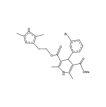 COC(=O)C1=C(C)NC(C)=C(C(=O)OCCc2cc(C)[nH]c2C)C1c1cccc(Br)c1